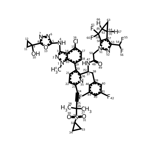 Cn1nc(Nc2nnc(C3(O)CC3)o2)c2c(Cl)ccc(-c3ccc(C#CC(C)(C)S(=O)(=O)C4CC4)nc3[C@H](Cc3cc(F)cc(F)c3)NC(=O)Cn3nc(C(F)F)c4c3C(F)(F)[C@@H]3C[C@H]43)c21